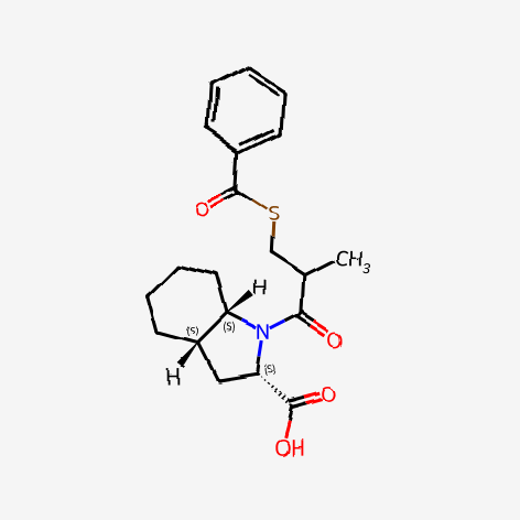 CC(CSC(=O)c1ccccc1)C(=O)N1[C@H](C(=O)O)C[C@@H]2CCCC[C@@H]21